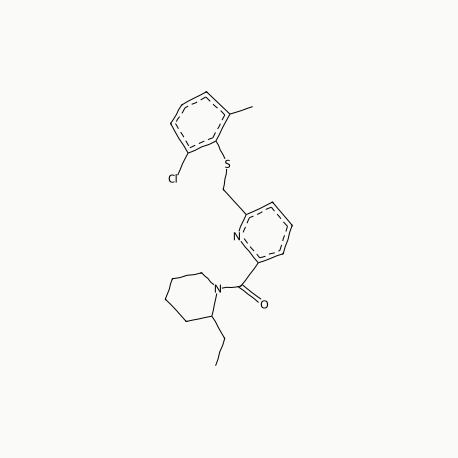 CCC1CCCCN1C(=O)c1cccc(CSc2c(C)cccc2Cl)n1